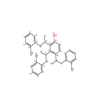 CCc1ccccc1CC(C)c1ccc(O)c(C(C)Cc2ccccc2CC)c1C(C)Cc1ccccc1CC